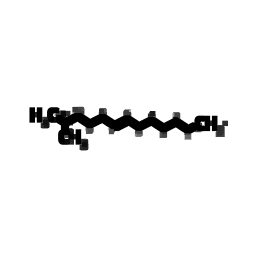 [CH2]CCCCCC=CCCC[C](C)C